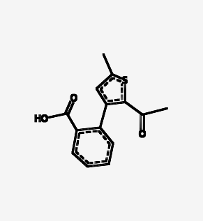 CC(=O)c1sc(C)cc1-c1ccccc1C(=O)O